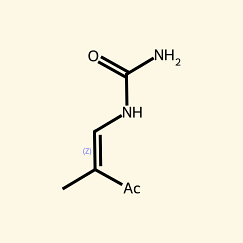 CC(=O)/C(C)=C\NC(N)=O